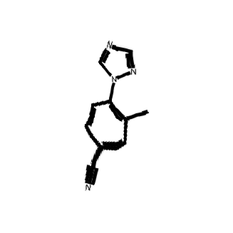 Cc1cc(C#N)ccc1-n1cncn1